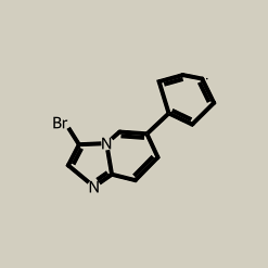 Brc1cnc2ccc(-c3cc[c]cc3)cn12